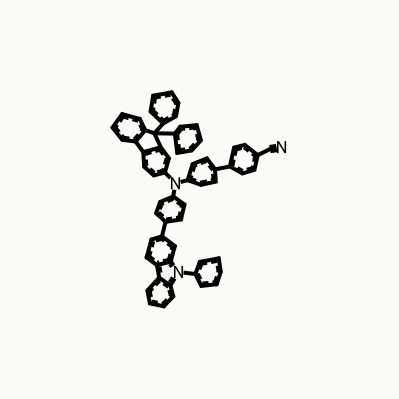 N#Cc1ccc(-c2ccc(N(c3ccc(-c4ccc5c6ccccc6n(-c6ccccc6)c5c4)cc3)c3ccc4c(c3)C(c3ccccc3)(c3ccccc3)c3ccccc3-4)cc2)cc1